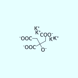 O=C([O-])CC([O-])(CC(=O)[O-])C(=O)[O-].[K+].[K+].[K+].[K+]